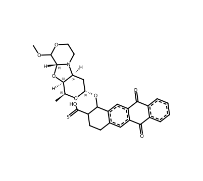 COC1OCCN2[C@@H]1O[C@@H]1[C@H](C)O[C@@H](OC3c4cc5c(cc4CCC3C(O)=S)C(=O)c3ccccc3C5=O)C[C@@H]12